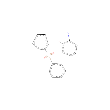 Nc1ccccc1O.O=S(=O)(c1ccccc1)c1ccccc1